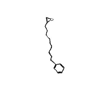 c1ccc(CCCCCCCCCC2CO2)cc1